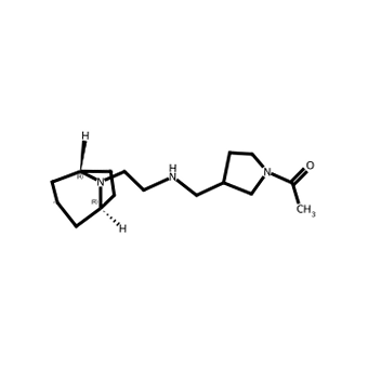 CC(=O)N1CCC(CNCCN2[C@@H]3C[CH]C[C@@H]2CC3)C1